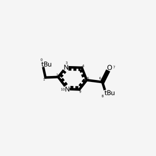 CC(C)(C)Cc1ncc(C(=O)C(C)(C)C)cn1